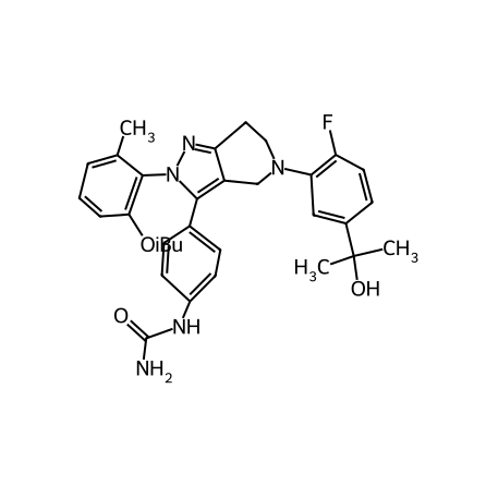 Cc1cccc(OCC(C)C)c1-n1nc2c(c1-c1ccc(NC(N)=O)cc1)CN(c1cc(C(C)(C)O)ccc1F)CC2